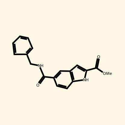 COC(=O)c1cc2cc(C(=O)NCc3ccccc3)ccc2[nH]1